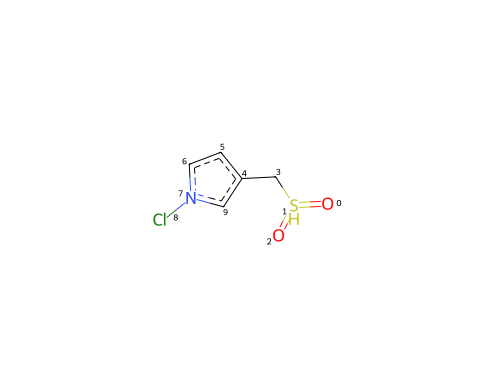 O=[SH](=O)Cc1ccn(Cl)c1